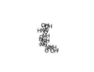 CCC(C)C(NC(=O)C1CCCN1C(=O)CNC(=O)C(N)CO)C(=O)NCC(=O)NC(CO)C(=O)O